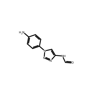 Nc1ccc(-n2cc(NC=O)nn2)cc1